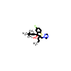 C=CCC1(Cn2cncn2)Sc2ccc(F)cc2C1(O)C#CC(C)(C)C